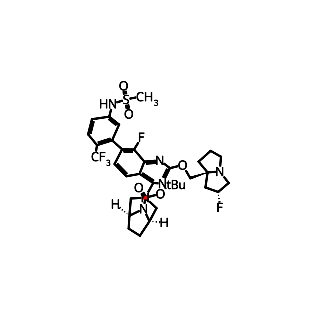 CC(C)(C)OC(=O)N1[C@@H]2CC[C@H]1CN(c1nc(OC[C@@]34CCCN3C[C@H](F)C4)nc3c(F)c(-c4cc(NS(C)(=O)=O)ccc4C(F)(F)F)ccc13)C2